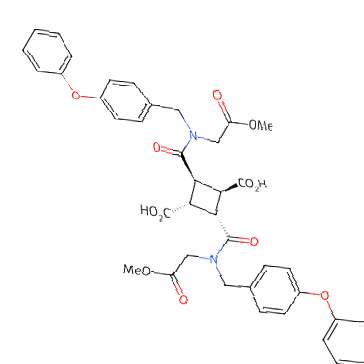 COC(=O)CN(Cc1ccc(Oc2ccccc2)cc1)C(=O)[C@H]1[C@H](C(=O)O)[C@H](C(=O)N(CC(=O)OC)Cc2ccc(Oc3ccccc3)cc2)[C@H]1C(=O)O